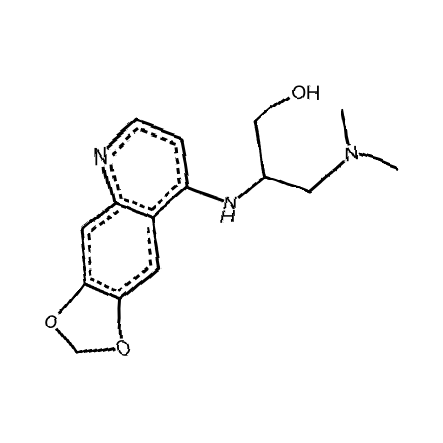 CN(C)CC(CO)Nc1ccnc2cc3c(cc12)OCO3